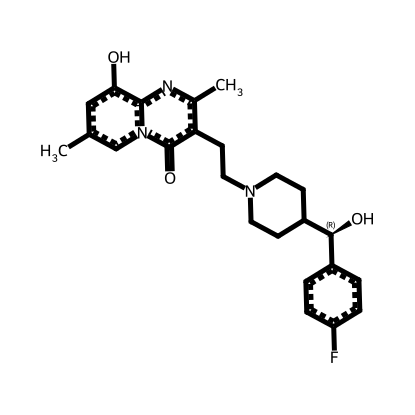 Cc1cc(O)c2nc(C)c(CCN3CCC([C@@H](O)c4ccc(F)cc4)CC3)c(=O)n2c1